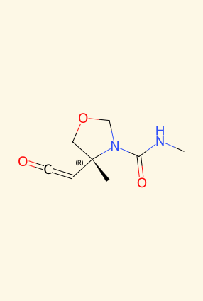 CNC(=O)N1COC[C@@]1(C)C=C=O